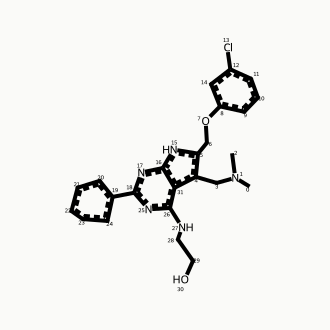 CN(C)Cc1c(COc2cccc(Cl)c2)[nH]c2nc(-c3ccccc3)nc(NCCO)c12